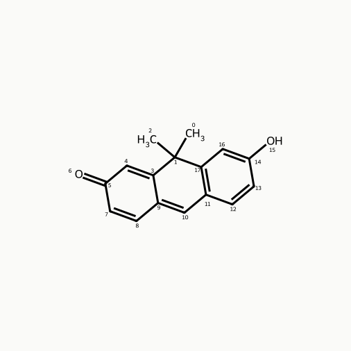 CC1(C)C2=CC(=O)C=CC2=Cc2ccc(O)cc21